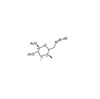 CC(=O)OC1[C@@H](OC(C)=O)OC(CN=[N+]=[N-])[C@@H](C)[C@@H]1C